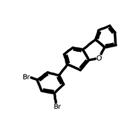 Brc1cc(Br)cc(-c2ccc3c(c2)oc2ccccc23)c1